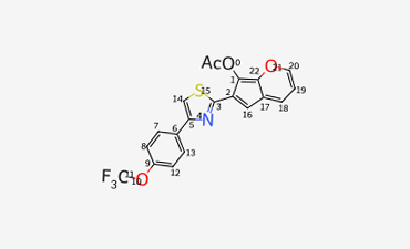 CC(=O)Oc1c(-c2nc(-c3ccc(OC(F)(F)F)cc3)cs2)cc2cccoc1-2